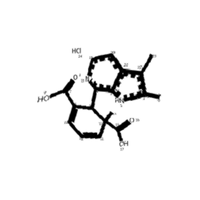 Cc1[nH]c2c(C3C(C(=O)O)=CC=CC3(C)C(=O)O)nccc2c1C.Cl